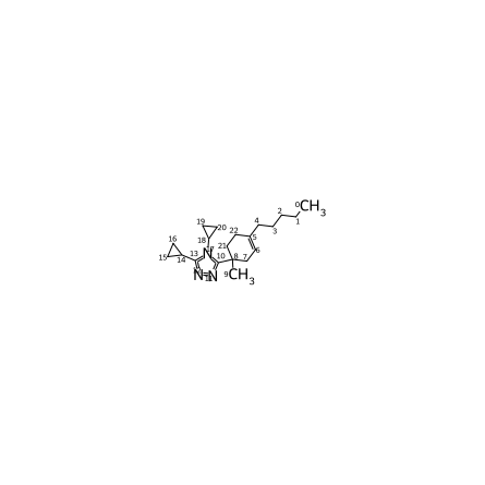 CCCCCC1=CCC(C)(c2nnc(C3CC3)n2C2CC2)CC1